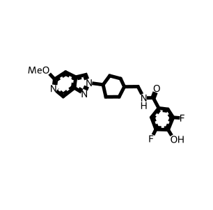 COc1cc2cn(C3CCC(CNC(=O)c4cc(F)c(O)c(F)c4)CC3)nc2cn1